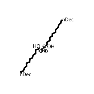 CCCCCCCCCCCCCCCCCCCCCC(O)O[PH](=O)OC(O)CCCCCCCCCCCCCCCCCCCCC